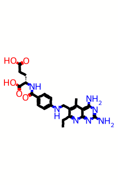 CCc1nc2nc(N)nc(N)c2c(C)c1CNc1ccc(C(=O)N[C@@H](CCC(=O)O)C(=O)O)cc1